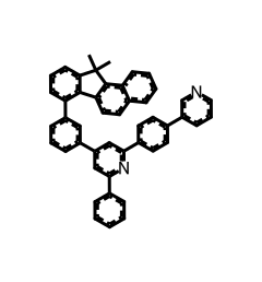 CC1(C)c2cccc(-c3cccc(-c4cc(-c5ccccc5)nc(-c5ccc(-c6cccnc6)cc5)c4)c3)c2-c2ccc3ccccc3c21